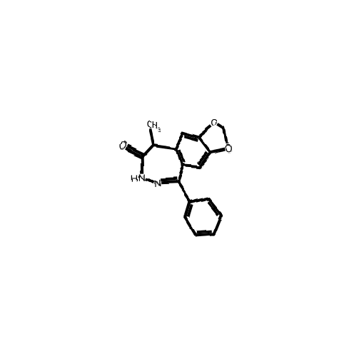 CC1C(=O)NN=C(c2ccccc2)c2cc3c(cc21)OCO3